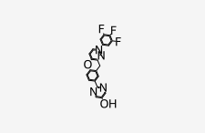 O=c1ccn(-c2cc(F)c(F)c(F)c2)nc1Cc1cccc(-c2ncc(O)cn2)c1